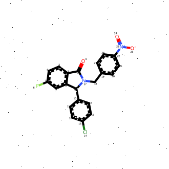 O=C1c2ccc(F)cc2C(c2ccc(Cl)cc2)N1Cc1ccc([N+](=O)[O-])cc1